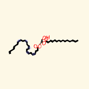 CCCCC/C=C\C/C=C\C/C=C\C/C=C\C/C=C\CCC(=O)OC[C@H](CO)OC(=O)CCCCCCCCCCCCCC